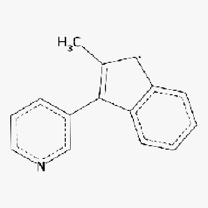 CC1=C(c2cccnc2)c2ccccc2[CH]1